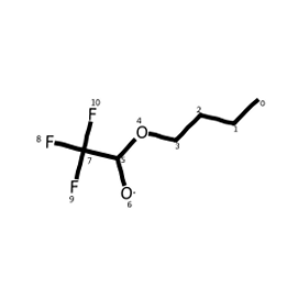 CCCCOC([O])C(F)(F)F